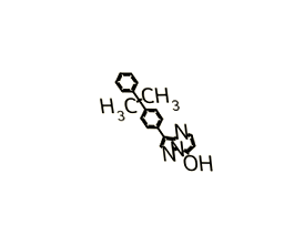 CC(C)(c1ccccc1)c1ccc(-c2cnn3c(O)ccnc23)cc1